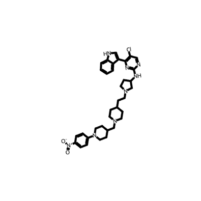 O=[N+]([O-])c1ccc(N2CCC(CN3CCC(CCN4CCC(Nc5ncc(Cl)c(-c6c[nH]c7ccccc67)n5)C4)CC3)CC2)cc1